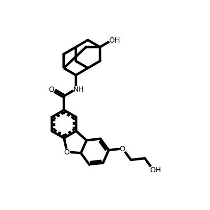 O=C(NC1C2CC3CC1CC(O)(C3)C2)c1ccc2c(c1)C1C=C(OCCO)C=CC1O2